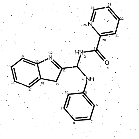 O=C(NC(Nc1ccccc1)C1=Nc2ccccc2C1)c1ccccn1